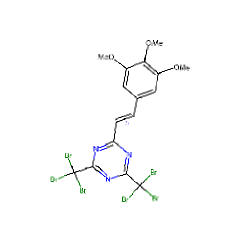 COc1cc(/C=C/c2nc(C(Br)(Br)Br)nc(C(Br)(Br)Br)n2)cc(OC)c1OC